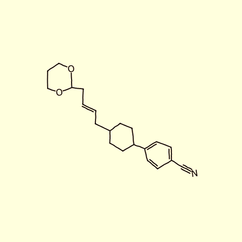 N#Cc1ccc(C2CCC(C/C=C/CC3OCCCO3)CC2)cc1